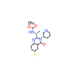 C[C@H](NC(=O)OC(C)(C)C)c1nc2ccc(F)cc2c(=O)n1-c1cccnc1